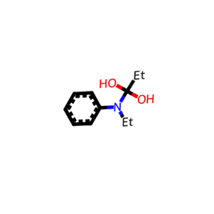 CCN(c1ccccc1)C(O)(O)CC